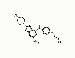 CCCCc1ccc(Nc2cc(N)nn3cc([C@H]4CC[C@H](N)CC4)nc23)cc1